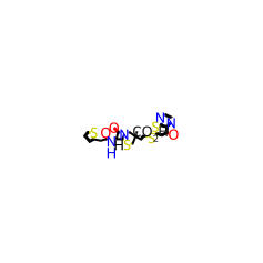 O=C(Cc1cccs1)NC1C(=O)N2CC(C=CSc3cc(=O)c4nccnc4s3)(C(=O)O)CS[C@H]12